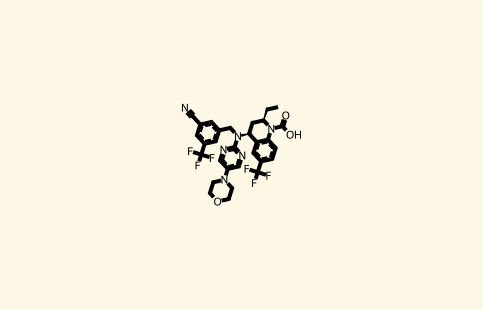 CC[C@@H]1C[C@H](N(Cc2cc(C#N)cc(C(F)(F)F)c2)c2ncc(N3CCOCC3)cn2)c2cc(C(F)(F)F)ccc2N1C(=O)O